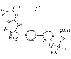 CCOC(=O)C1(c2ccc(-c3ccc(-c4onc(C)c4NC(=O)O[C@H](C)C4CC4)cc3)cc2)C=C1[Si](C)(C)C